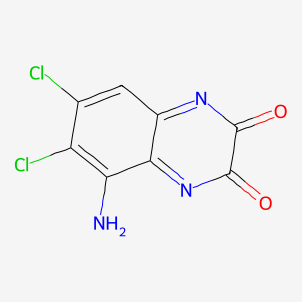 Nc1c(Cl)c(Cl)cc2c1=NC(=O)C(=O)N=2